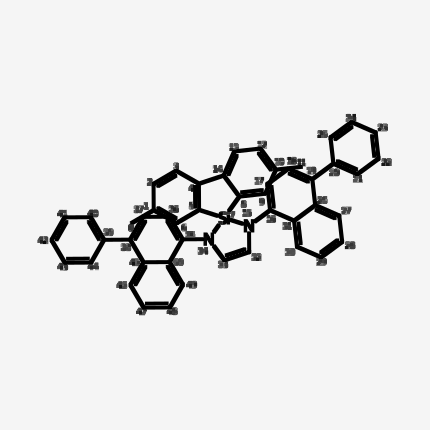 Cc1ccc2c(c1)[Si]1(c3cc(C)ccc3-2)N(c2ccc(-c3ccccc3)c3ccccc23)C=CN1c1ccc(-c2ccccc2)c2ccccc12